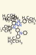 CC(C)(C)c1ccc(-c2nc(-c3ccc(C(C)(C)C)cc3)nc(-c3cc4c(cc3-n3c5ccc(C(C)(C)C)cc5c5cc(C(C)(C)C)ccc53)c3cc(C(C)(C)C)ccc3n4-c3ccccc3)n2)cc1